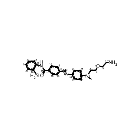 CN(CCOCCN)c1ccc(/N=N/c2ccc(C(=O)Nc3ccccc3N)cc2)cc1